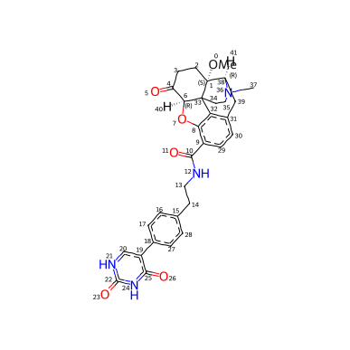 CO[C@@]12CCC(=O)[C@@H]3Oc4c(C(=O)NCCc5ccc(-c6c[nH]c(=O)[nH]c6=O)cc5)ccc5c4C31CCN(C)[C@@H]2C5